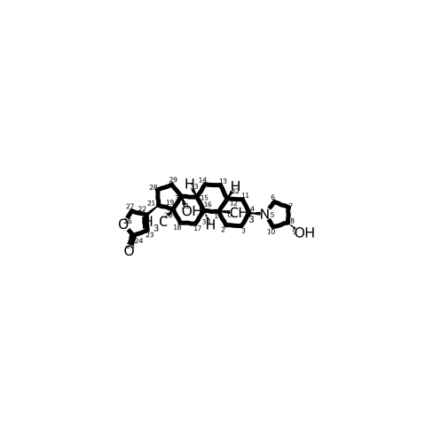 C[C@]12CC[C@H](N3CC[C@H](O)C3)C[C@H]1CC[C@@H]1[C@@H]2CC[C@]2(C)[C@@H](C3=CC(=O)OC3)CC[C@]12O